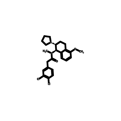 COc1cccc2c1CC[C@@H](N1CCCC1)[C@@H]2N(C)C(=O)Cc1ccc(Cl)c(Cl)c1